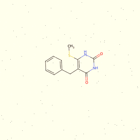 CSc1[nH]c(=O)[nH]c(=O)c1Cc1ccccc1